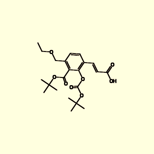 CCOCc1ccc(/C=C/C(=O)O)c(OC(=O)OC(C)(C)C)c1C(=O)OC(C)(C)C